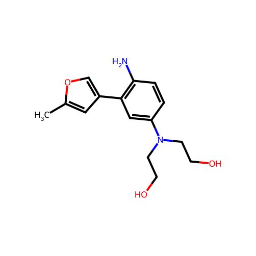 Cc1cc(-c2cc(N(CCO)CCO)ccc2N)co1